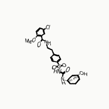 COc1ccc(Cl)cc1C(=O)NCCc1ccc(S(=O)(=O)NC(=O)N[C@H]2CCC[C@@H](O)C2)cc1